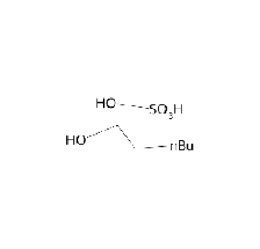 CCCCCCO.O=S(=O)(O)O